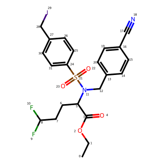 CCOC(=O)C(CCC(F)F)N(Cc1ccc(C#N)cc1)S(=O)(=O)c1ccc(CI)cc1